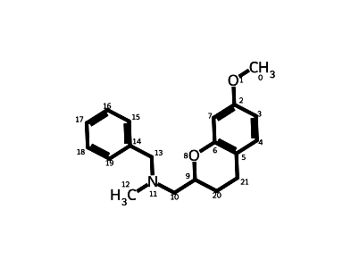 COc1ccc2c(c1)OC(CN(C)Cc1ccccc1)CC2